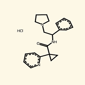 Cl.O=C(NC(CN1CCCC1)c1ccccc1)C1(c2ccccn2)CC1